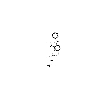 CNC(=O)c1c(S(=O)(=O)c2ccccc2)ccc2c1OC(N(C)C(=O)OC(C)(C)C)CC2